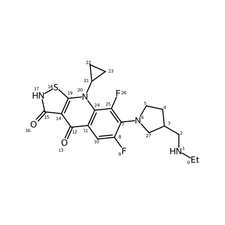 CCNCC1CCN(c2c(F)cc3c(=O)c4c(=O)[nH]sc4n(C4CC4)c3c2F)C1